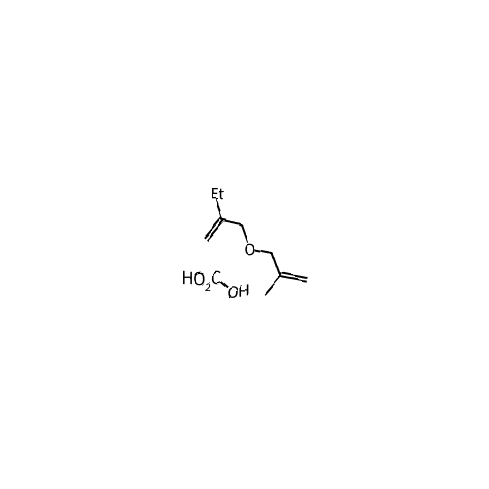 C=C(C)COCC(=C)CC.O=C(O)O